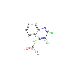 Clc1nc2ccccc2nc1Cl.O=C(Cl)Cl